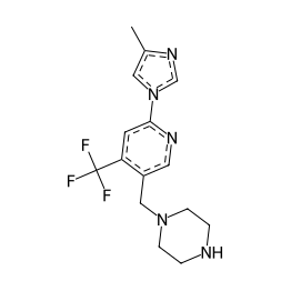 Cc1cn(-c2cc(C(F)(F)F)c(CN3CCNCC3)cn2)cn1